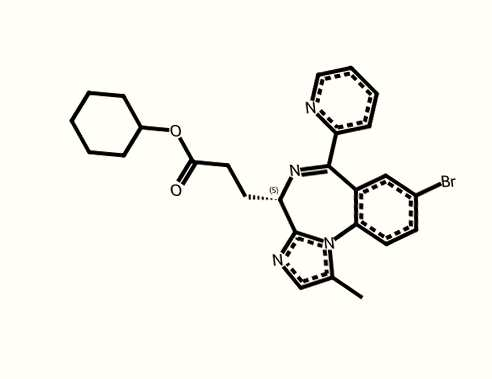 Cc1cnc2n1-c1ccc(Br)cc1C(c1ccccn1)=N[C@H]2CCC(=O)OC1CCCCC1